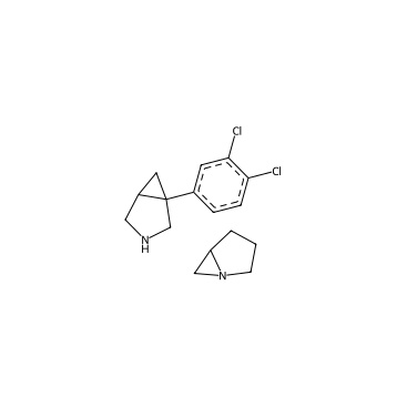 C1CC2CN2C1.Clc1ccc(C23CNCC2C3)cc1Cl